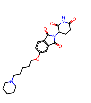 O=C1CCC(N2C(=O)c3ccc(OCCCCCN4CCCCC4)cc3C2=O)C(=O)N1